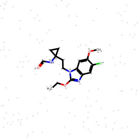 CCOc1nc2cc(Cl)c(OC)cc2n1CCC1(NC=O)CC1